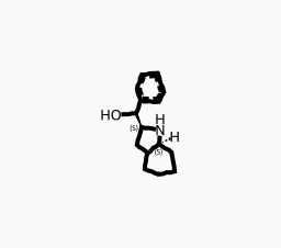 OC(c1ccccc1)[C@@H]1CC2CCCC[C@@H]2N1